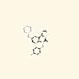 O=c1n(Cc2ccc(Cl)cc2)c2ncc(CN3CCCCC3)cc2c2ncnn12